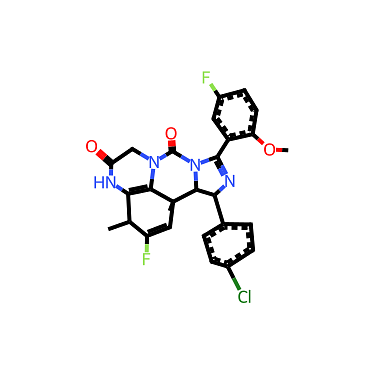 COc1ccc(F)cc1C1=NC(c2ccc(Cl)cc2)C2N1C(=O)N1CC(=O)NC3=C1C2(C)C=C(F)C3C